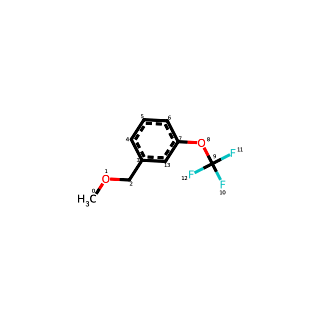 COCc1cccc(OC(F)(F)F)c1